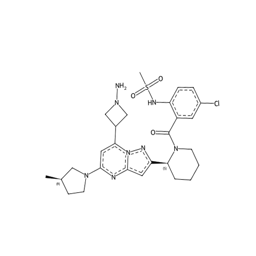 C[C@@H]1CCN(c2cc(C3CN(N)C3)n3nc([C@@H]4CCCCN4C(=O)c4cc(Cl)ccc4NS(C)(=O)=O)cc3n2)C1